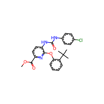 COC(=O)c1ccc(NC(=O)Nc2ccc(Cl)cc2)c(Oc2ccccc2C(C)(C)C)n1